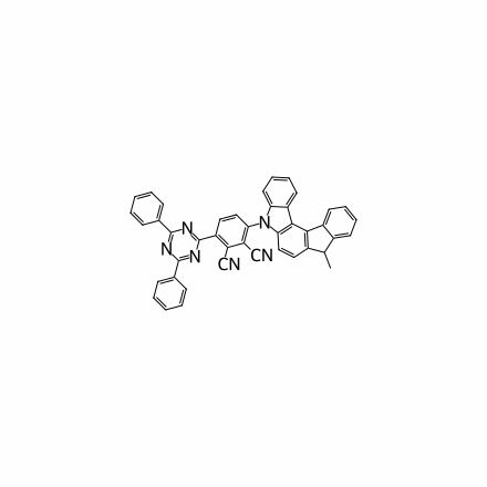 CC1c2ccccc2-c2c1ccc1c2c2ccccc2n1-c1ccc(-c2nc(-c3ccccc3)nc(-c3ccccc3)n2)c(C#N)c1C#N